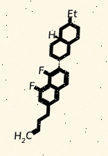 C=CCCc1cc(F)c2c(F)c([C@@H]3CC[C@@H]4CC(CC)CCC4C3)ccc2c1